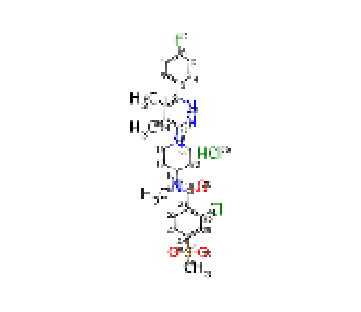 Cc1c(-c2ccc(F)cc2)nnc(N2CCC(N(C)C(=O)c3ccc(S(C)(=O)=O)cc3Cl)CC2)c1C.Cl